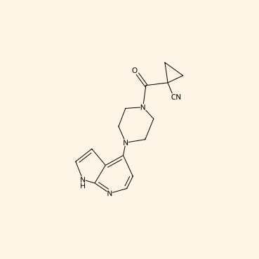 N#CC1(C(=O)N2CCN(c3ccnc4[nH]ccc34)CC2)CC1